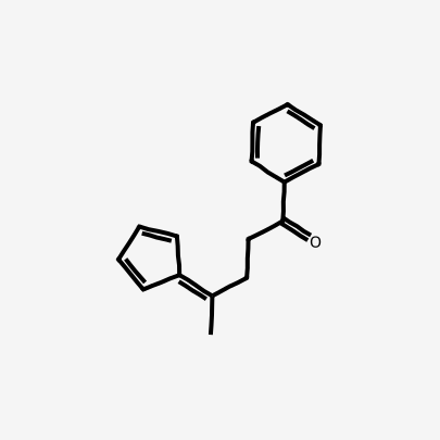 CC(CCC(=O)c1ccccc1)=C1C=CC=C1